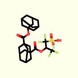 O=C(OC(C(F)(F)F)C(F)(F)S(=O)(=O)O)C12CC3CC(C1)CC(C(=O)OC14CC5CC(CC(C5)C1)C4)(C3)C2